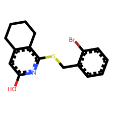 Oc1cc2c(c(SCc3ccccc3Br)n1)CCCC2